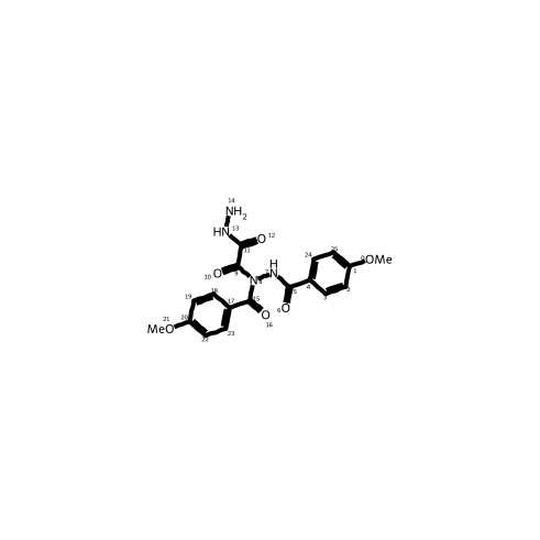 COc1ccc(C(=O)NN(C(=O)C(=O)NN)C(=O)c2ccc(OC)cc2)cc1